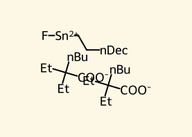 CCCCC(CC)(CC)C(=O)[O-].CCCCC(CC)(CC)C(=O)[O-].CCCCCCCCCCC[CH2][Sn+2][F]